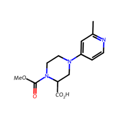 COC(=O)N1CCN(c2ccnc(C)c2)CC1C(=O)O